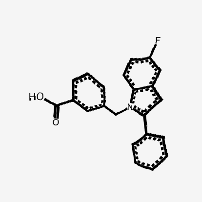 O=C(O)c1cccc(Cn2c(-c3ccccc3)cc3cc(F)ccc32)c1